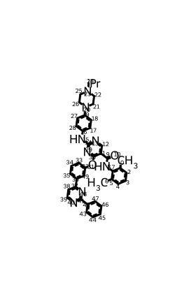 Cc1cccc(C)c1NC(=O)c1cnc(Nc2ccc(N3CCN(C(C)C)CC3)cc2)nc1Oc1cccc(-c2ccnc(-c3ccccc3)n2)c1